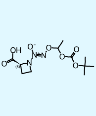 CC(ON=[N+]([O-])N1CC[C@H]1C(=O)O)OC(=O)OC(C)(C)C